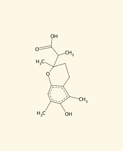 Cc1cc2c(c(C)c1O)CCC(C)(C(C)C(=O)O)O2